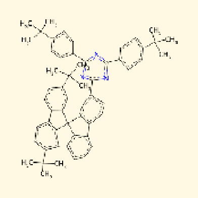 CC(C)(C)c1ccc(-c2nc(-c3ccc(C(C)(C)C)cc3)nc(-c3ccc4c(c3)C3(c5ccccc5-4)c4cc(C(C)(C)C)ccc4-c4ccc(C(C)(C)C)cc43)n2)cc1